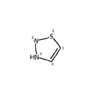 C1=CS[N]N1